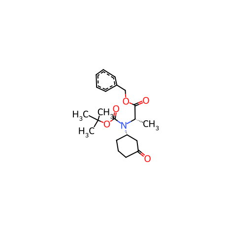 C[C@@H](C(=O)OCc1ccccc1)N(C(=O)OC(C)(C)C)[C@H]1CCCC(=O)C1